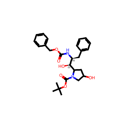 CC(C)(C)OC(=O)N1CC(O)CC1[C@@H](O)[C@H](Cc1ccccc1)NC(=O)OCc1ccccc1